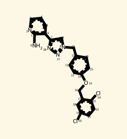 Nc1ncccc1-c1cn(Cc2ccc(OCc3cc(Cl)ccc3Cl)cc2)nn1